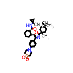 CC1(c2nc(-c3ccc(N4CCS(=O)(=O)CC4)cc3)c([C@@H]3CCCC[C@H]3C(=O)NC3(C#N)CC3)o2)CC[Si](C)(C)CC1